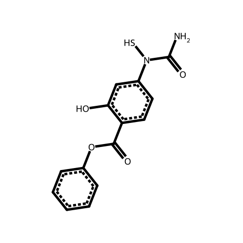 NC(=O)N(S)c1ccc(C(=O)Oc2ccccc2)c(O)c1